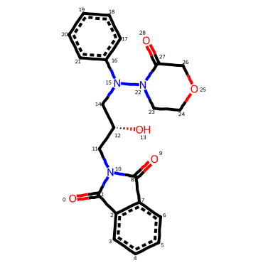 O=C1c2ccccc2C(=O)N1C[C@@H](O)CN(c1ccccc1)N1CCOCC1=O